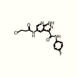 O=C(CCCl)Nc1cnc2[nH]nc(C(=O)Nc3ccc(F)cc3)c2c1